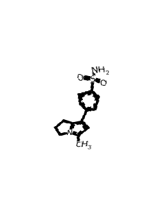 Cc1cc(-c2ccc(S(N)(=O)=O)cc2)c2n1CCC2